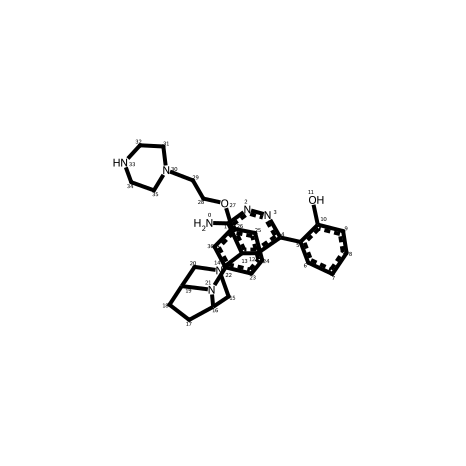 Nc1nnc(-c2ccccc2O)cc1N1CC2CCC(C1)N2c1cccc(OCCN2CCNCC2)c1